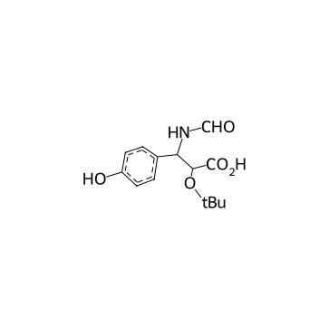 CC(C)(C)OC(C(=O)O)C(NC=O)c1ccc(O)cc1